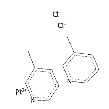 Cc1cccnc1.Cc1cccnc1.[Cl-].[Cl-].[Pt+2]